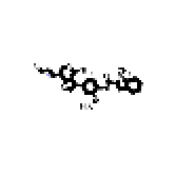 COc1cc(-c2coc3c(/C=C/C=O)cnc(N)c23)ccc1NC(=O)c1cc2ccccc2n1C